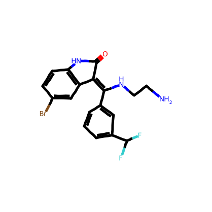 NCCN/C(=C1\C(=O)Nc2ccc(Br)cc21)c1cccc(C(F)F)c1